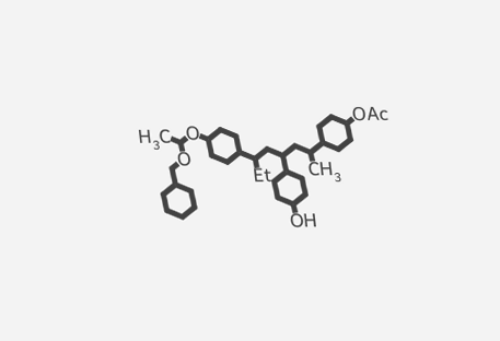 CCC(CC(CC(C)C1CCC(OC(C)=O)CC1)C1CCC(O)CC1)C1CCC(OC(C)OCC2CCCCC2)CC1